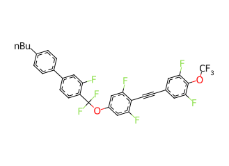 CCCCc1ccc(-c2ccc(C(F)(F)Oc3cc(F)c(C#Cc4cc(F)c(OC(F)(F)F)c(F)c4)c(F)c3)c(F)c2)cc1